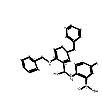 CCCCN(CC)c1cc(C)ccc1PC(CCC)C1=CC(Cc2ccccc2)CC=C1OCc1ccccc1